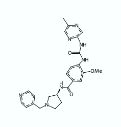 COc1cc(C(=O)N[C@H]2CCN(Cc3ccncc3)C2)ccc1NC(=O)Nc1cnc(C)cn1